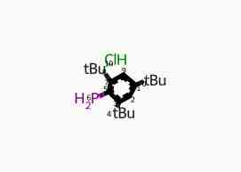 CC(C)(C)c1cc(C(C)(C)C)c(P)c(C(C)(C)C)c1.Cl